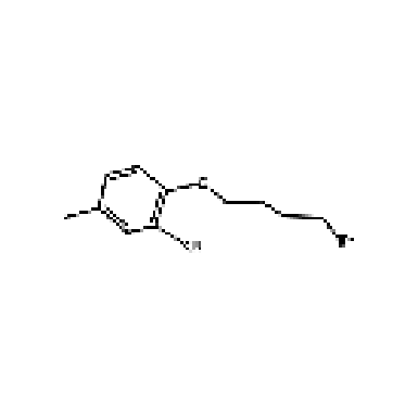 Cc1ccc(OCCCCC(C)C)c(C#N)c1